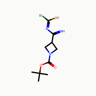 CC(C)(C)OC(=O)N1CC(C(=N)/N=C(\S)Br)C1